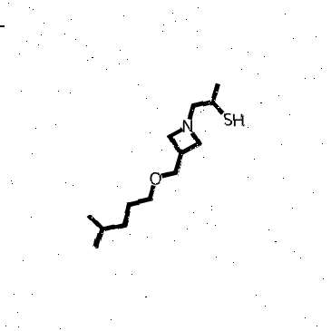 CC(C)CCCOCC1CN(CC(C)S)C1